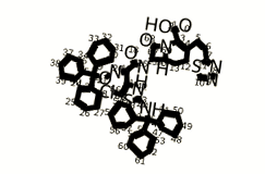 O=C(O)C1=C(/C=C\c2nncs2)CC[C@@H]2[C@H](NC(=O)/C(=N/OC(c3ccccc3)(c3ccccc3)c3ccccc3)c3nc(NC(c4ccccc4)(c4ccccc4)c4ccccc4)sc3Cl)C(=O)N12